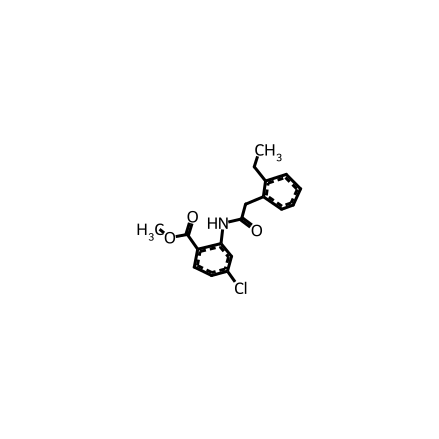 CCc1ccccc1CC(=O)Nc1cc(Cl)ccc1C(=O)OC